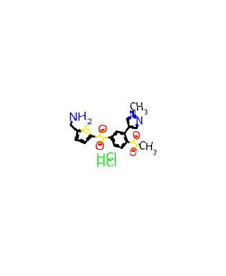 Cl.Cl.Cn1cc(-c2cc(S(=O)(=O)c3ccc(CN)s3)ccc2S(C)(=O)=O)cn1